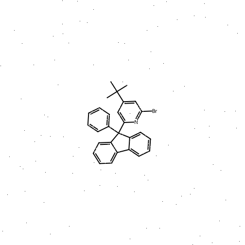 CC(C)(C)c1cc(Br)nc(C2(c3ccccc3)c3ccccc3-c3ccccc32)c1